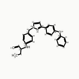 CCC(C=O)Nc1ccc(Cn2ccc(-c3ccc(Oc4ccccc4)cc3)n2)cc1